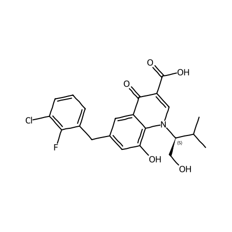 CC(C)[C@@H](CO)n1cc(C(=O)O)c(=O)c2cc(Cc3cccc(Cl)c3F)cc(O)c21